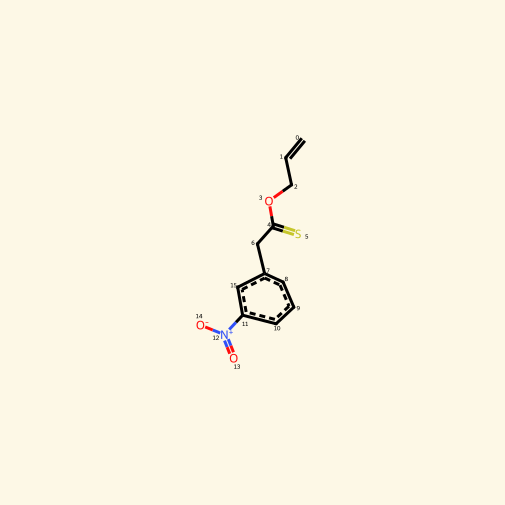 C=CCOC(=S)Cc1cccc([N+](=O)[O-])c1